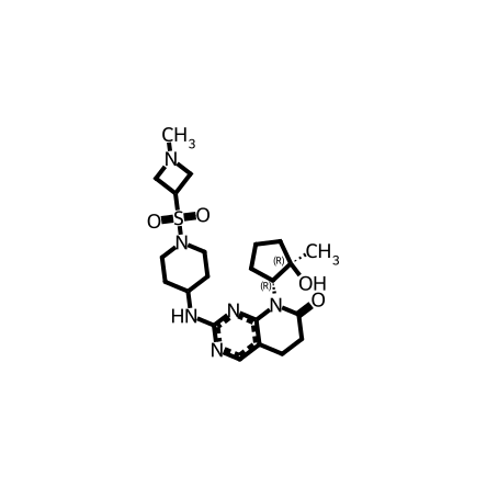 CN1CC(S(=O)(=O)N2CCC(Nc3ncc4c(n3)N([C@@H]3CCC[C@@]3(C)O)C(=O)CC4)CC2)C1